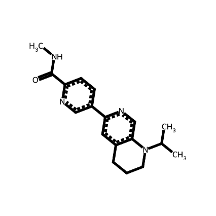 CNC(=O)c1ccc(-c2cc3c(cn2)N(C(C)C)CCC3)cn1